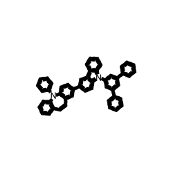 C1=Cc2cc(-c3ccc4c(c3)c3ccccc3n4-c3cc(-c4ccccc4)cc(-c4ccccc4)c3)ccc2N(c2ccccc2)c2ccccc21